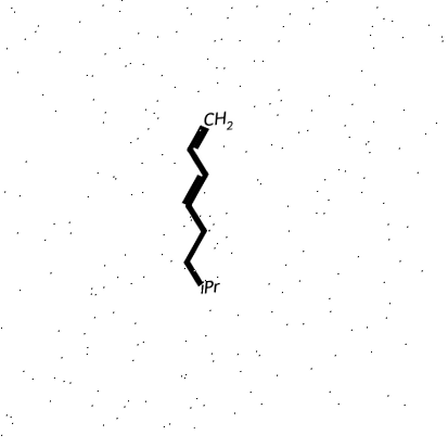 C=CC=C[CH]CC(C)C